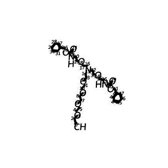 C#CCOCCOCCOCCOCCN(CCOCCNC(=O)OCc1ccccc1)CCOCCNC(=O)OCc1ccccc1